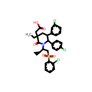 CCC1(CC(=O)O)CC(c2cccc(Cl)c2)C(c2ccc(Cl)cc2)N(C(CS(=O)(=O)c2ccccc2Cl)C2CC2)C1=O